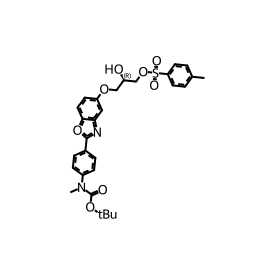 Cc1ccc(S(=O)(=O)OC[C@H](O)COc2ccc3oc(-c4ccc(N(C)C(=O)OC(C)(C)C)cc4)nc3c2)cc1